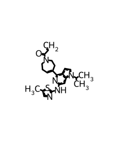 C=CC(=O)N1CCC=C(c2nc(Nc3ncc(C)s3)cc3c2ccn3C(C)C)CC1